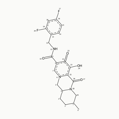 CC1CCC2Cn3cc(C(=O)NCc4ccc(F)cc4F)c(=O)c(O)c3C(=O)N2C1